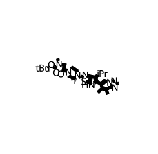 Cc1c(-c2[nH]c3sc(N4CCN(C(=O)CN(C)C(=O)OC(C)(C)C)C[C@H]4C)nc3c2C(C)C)cn2ncnc2c1C